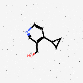 OCc1cnccc1C1CC1